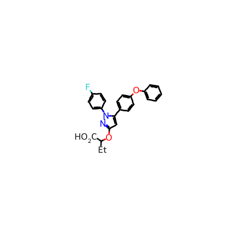 CCC(Oc1cc(-c2ccc(Oc3ccccc3)cc2)n(-c2ccc(F)cc2)n1)C(=O)O